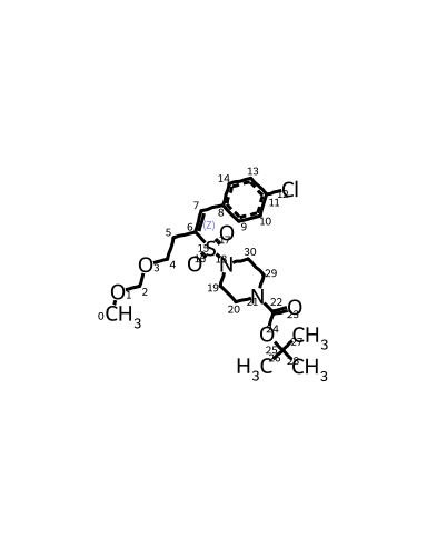 COCOCC/C(=C/c1ccc(Cl)cc1)S(=O)(=O)N1CCN(C(=O)OC(C)(C)C)CC1